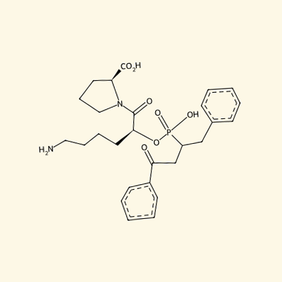 NCCCC[C@H](OP(=O)(O)C(CC(=O)c1ccccc1)Cc1ccccc1)C(=O)N1CCC[C@H]1C(=O)O